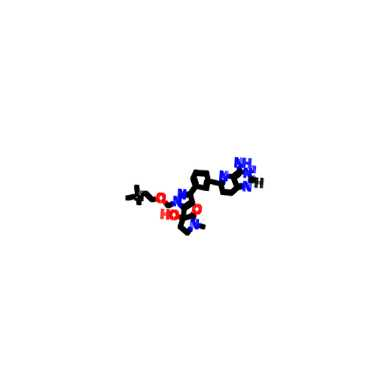 [2H]c1nc(N)c2nc(-c3cccc(-c4cc(C5(O)CCN(C)C5=O)n(COCC[Si](C)(C)C)n4)c3)ccc2n1